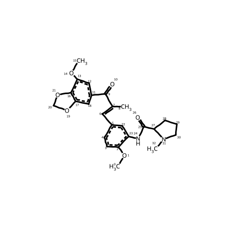 COc1ccc(C=C(C)C(=O)c2cc(OC)c3c(c2)OCO3)cc1NC(=O)C1CCCN1C